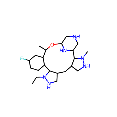 CCN1NCC2CC3CNN(C)C3C3CNCC(N3)OC(C)C3CC(F)CCC3C21